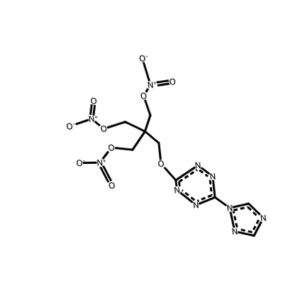 O=[N+]([O-])OCC(COc1nnc(-n2cncn2)nn1)(CO[N+](=O)[O-])CO[N+](=O)[O-]